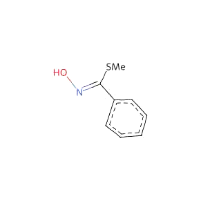 CSC(=NO)c1ccccc1